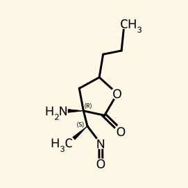 CCCC1C[C@@](N)([C@H](C)N=O)C(=O)O1